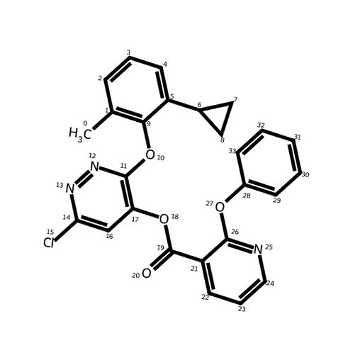 Cc1cccc(C2CC2)c1Oc1nnc(Cl)cc1OC(=O)c1cccnc1Oc1ccccc1